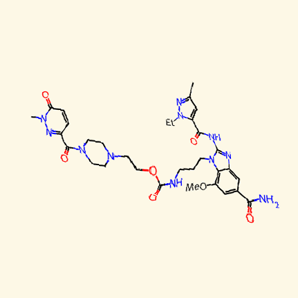 CCn1nc(C)cc1C(=O)Nc1nc2cc(C(N)=O)cc(OC)c2n1CCCNC(=O)OCCN1CCN(C(=O)c2ccc(=O)n(C)n2)CC1